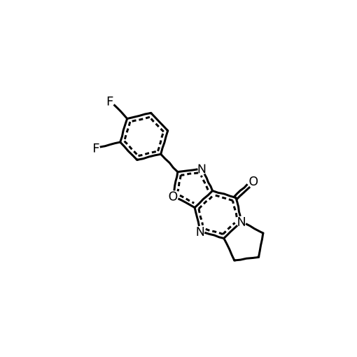 O=c1c2nc(-c3ccc(F)c(F)c3)oc2nc2n1CCC2